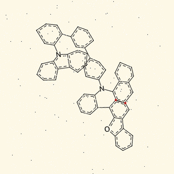 c1cc(-c2ccc(N(c3ccccc3-c3cccc4c3oc3ccccc34)c3cccc4ccccc34)cc2)cc(-c2ccccc2-n2c3ccccc3c3ccccc32)c1